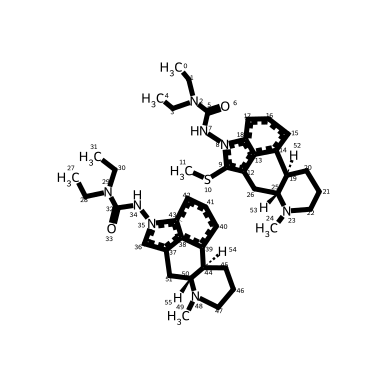 CCN(CC)C(=O)Nn1c(SC)c2c3c(cccc31)[C@H]1CCCN(C)[C@@H]1C2.CCN(CC)C(=O)Nn1cc2c3c(cccc31)[C@H]1CCCN(C)[C@@H]1C2